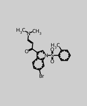 Cc1ccccc1S(=O)(=O)n1cc(C(=O)/C=C/N(C)C)c2ccc(Br)cc21